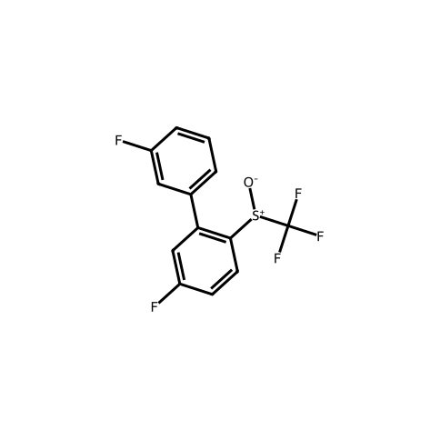 [O-][S+](c1ccc(F)cc1-c1cccc(F)c1)C(F)(F)F